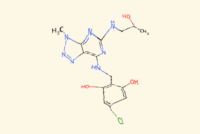 CC(O)CNc1nc(NCc2c(O)cc(Cl)cc2O)c2nnn(C)c2n1